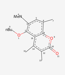 CCCCOc1c(NC)cc(C)c2oc(=O)c(C)c(C)c12